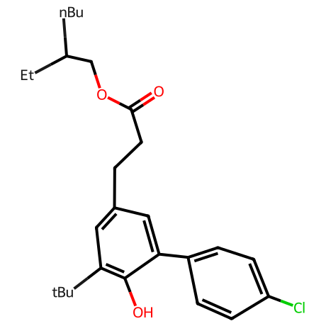 CCCCC(CC)COC(=O)CCc1cc(-c2ccc(Cl)cc2)c(O)c(C(C)(C)C)c1